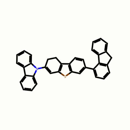 C1=C(n2c3ccccc3c3ccccc32)CCc2c1sc1cc(-c3cccc4c3-c3ccccc3C4)ccc21